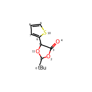 CC(C)(C)C1OC(=O)C(c2cccs2)O1